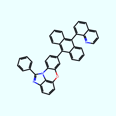 c1ccc(-c2nc3cccc4c3n2-c2ccc(-c3c5ccccc5c(-c5cccc6cccnc56)c5ccccc35)cc2O4)cc1